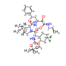 C=CCNC(=O)C(=O)C(CCc1ccccc1)NC(=O)C1[C@H]2[C@@H](CN1C(=O)C(NC(=O)OC(C)(C)C)C1CCC(F)(F)CC1)C2(C)C